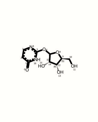 O=c1ccnc(OC2O[C@@H](CO)[C@H](O)[C@@H]2O)[nH]1